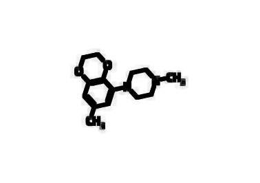 Cc1cc2c(c(N3CCN(C)CC3)c1)OCCO2